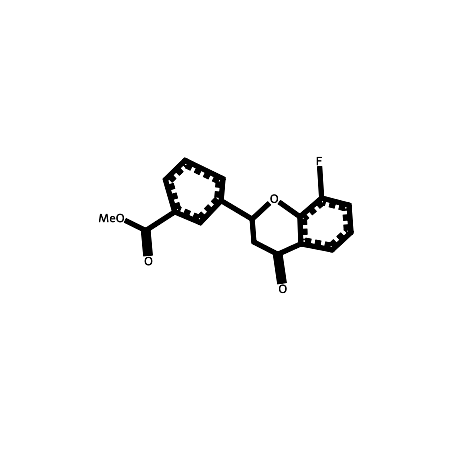 COC(=O)c1cccc(C2CC(=O)c3cccc(F)c3O2)c1